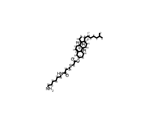 CC(C)CCC[C@@H](C)[C@H]1CC[C@H]2[C@@H]3CC=C4C[C@@H](OC(=O)CSSCC(=O)NCCCCCCN)CC[C@]4(C)[C@H]3CC[C@]12C